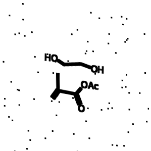 C=C(C)C(=O)OC(C)=O.OCCO